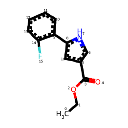 CCOC(=O)c1c[nH]c(-c2ccccc2F)c1